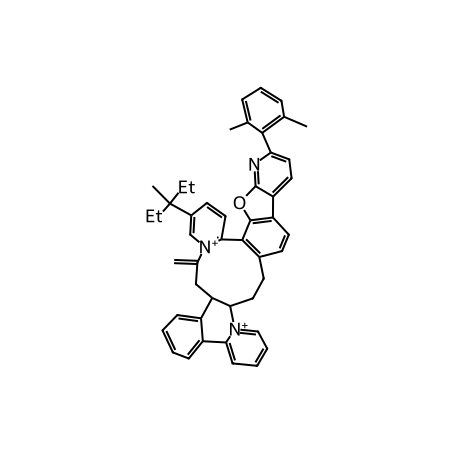 C=C1CC2c3ccccc3-c3cccc[n+]3C2CCc2ccc3c(oc4nc(-c5c(C)cccc5C)ccc43)c2-c2ccc(C(C)(CC)CC)c[n+]21